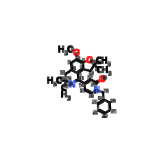 COc1cc2c(c3c1OC(C)(C)C3)C(c1ccn(Cc3ccccc3)c(=O)c1)=NC(C)(C)C2